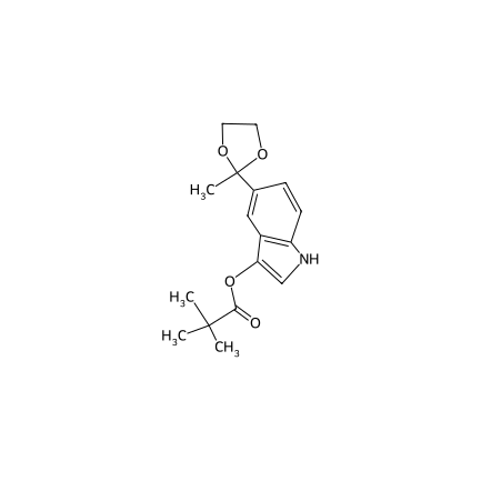 CC(C)(C)C(=O)Oc1c[nH]c2ccc(C3(C)OCCO3)cc12